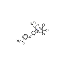 CCn1c(=O)[nH]/c(=N\c2ccc(Oc3ccnc(C(N)=O)c3)cc2)n(CC2CCC3(CC2)CC3)c1=O